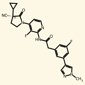 Cn1cc(-c2cc(F)cc(CC(=O)Nc3nccc(N4CC[C@@](C#N)(C5CC5)C4=O)c3F)c2)cn1